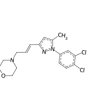 Cc1cc(C=CCN2CCOCC2)nn1-c1ccc(Cl)c(Cl)c1